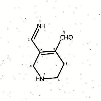 N=CC1=C(C=O)CCNC1